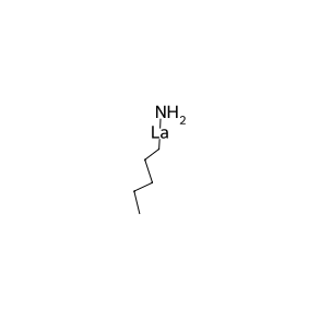 CCCC[CH2][La][NH2]